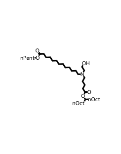 CCCCCCCCC(CCCCCCCC)OC(=O)CCCCN(CCO)CCCCCCCCCCCCC(=O)OCCCCC